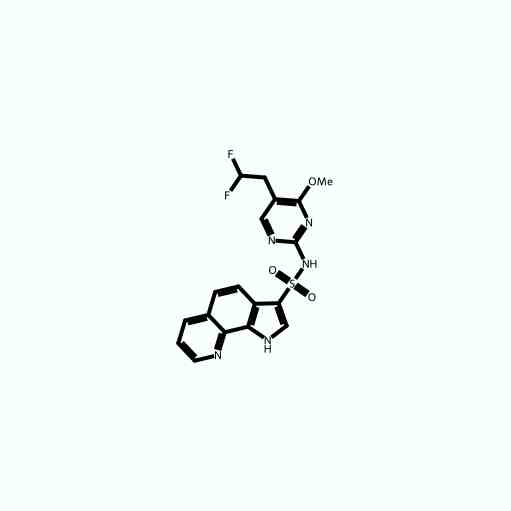 COc1nc(NS(=O)(=O)c2c[nH]c3c2ccc2cccnc23)ncc1CC(F)F